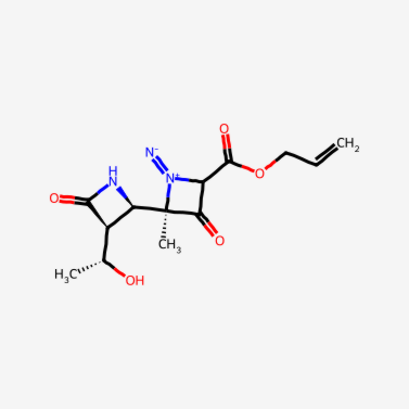 C=CCOC(=O)C1C(=O)[C@@](C)([C@@H]2NC(=O)[C@@H]2[C@@H](C)O)[N+]1=[N-]